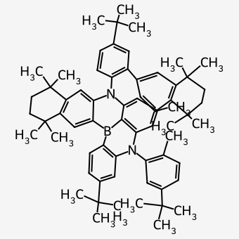 Cc1cc2c3c(c1)N(c1ccc(C(C)(C)C)cc1-c1ccc4c(c1)C(C)(C)CCC4(C)C)c1cc4c(cc1B3c1ccc(C(C)(C)C)cc1N2c1cc(C(C)(C)C)ccc1C)C(C)(C)CCC4(C)C